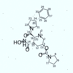 CN1C[C@@H](OC(=O)N2CCCC2)C[C@H](C(=O)NO)[C@H]1C(=O)N1CC[C@H](c2ccccc2)C1